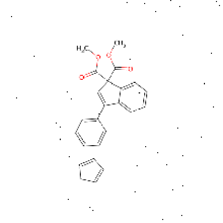 C1=CCC=C1.COC(=O)C1(C(=O)OC)C=C(c2ccccc2)c2ccccc21